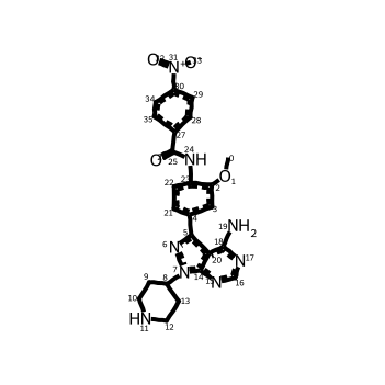 COc1cc(-c2nn(C3CCNCC3)c3ncnc(N)c23)ccc1NC(=O)c1ccc([N+](=O)[O-])cc1